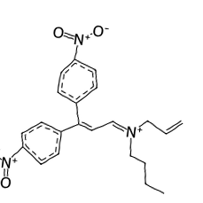 C=CC/[N+](=C/C=C(c1ccc([N+](=O)[O-])cc1)c1ccc([N+](=O)[O-])cc1)CCCC